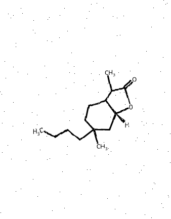 CCCCC1(C)CCC2C(C)C(=O)O[C@@H]2C1